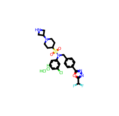 Cl.Cl.O=S(=O)(C1CCN(C2CNC2)CC1)N(Cc1ccc(-c2nnc(C(F)F)o2)cc1)c1cccc(Cl)c1